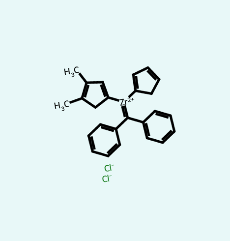 CC1=C(C)C[C]([Zr+2]([C]2=CC=CC2)=[C](c2ccccc2)c2ccccc2)=C1.[Cl-].[Cl-]